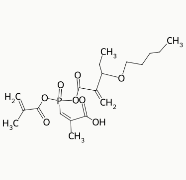 C=C(C)C(=O)OP(=O)(C=C(C)C(=O)O)OC(=O)C(=C)C(CC)OCCCCC